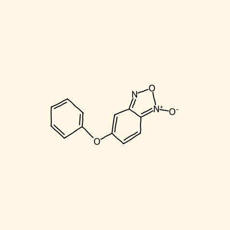 [O-][n+]1onc2cc(Oc3ccccc3)ccc21